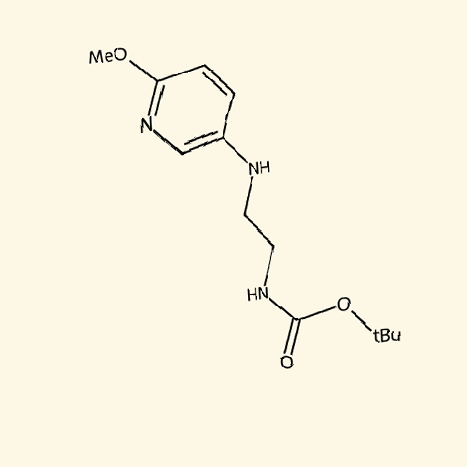 COc1ccc(NCCNC(=O)OC(C)(C)C)cn1